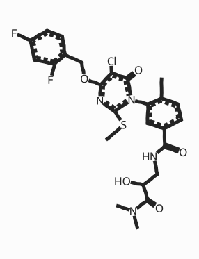 CSc1nc(OCc2ccc(F)cc2F)c(Cl)c(=O)n1-c1cc(C(=O)NCC(O)C(=O)N(C)C)ccc1C